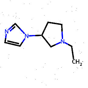 [CH2]CN1CCC(n2ccnc2)C1